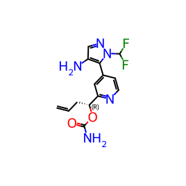 C=CC[C@@H](OC(N)=O)c1cc(-c2c(N)cnn2C(F)F)ccn1